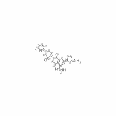 CNc1ncc2cc(-c3ccc(-c4cncc(C)n4)cc3Cl)c(=O)n(CC(=O)N3CC[C@H](N)C3)c2n1